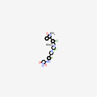 COc1cc(-c2cn(C)c(=O)c3ccccc23)cc(Cl)c1CN1CCC(N2CCC(c3ccc(NC4CCC(=O)NC4=O)cc3F)CC2)C(F)(F)C1